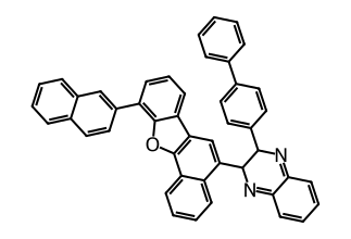 c1ccc(-c2ccc(C3N=c4ccccc4=NC3c3cc4c5cccc(-c6ccc7ccccc7c6)c5oc4c4ccccc34)cc2)cc1